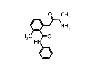 Cc1cccc(CC(=O)[C@H](C)N)c1C(=O)Nc1ccccc1